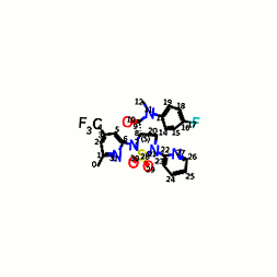 Cc1cc(C(F)(F)F)cc(N2[C@H](C(=O)N(C)c3ccc(F)cc3)CN(c3ccccn3)S2(=O)=O)n1